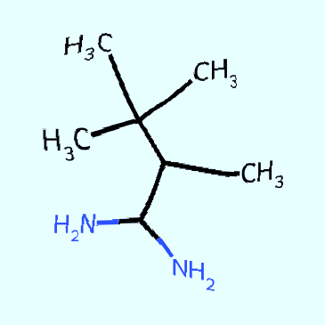 CC(C(N)N)C(C)(C)C